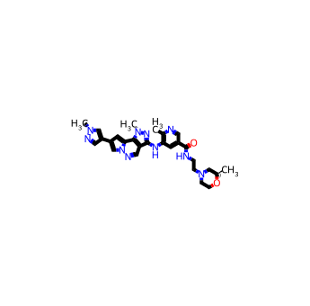 Cc1ncc(C(=O)NCCN2CCO[C@@H](C)C2)cc1Nc1nn(C)c2c1cnn1cc(-c3cnn(C)c3)cc21